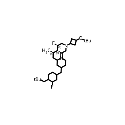 C[C@H](CC1CC(CC2CCC(CC(C)(C)C)C(F)C2)CCN1)[C@@H]1CCN(C2CC(OC(C)(C)C)C2)C[C@@H]1F